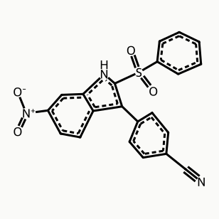 N#Cc1ccc(-c2c(S(=O)(=O)c3ccccc3)[nH]c3cc([N+](=O)[O-])ccc23)cc1